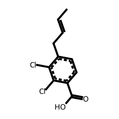 CC=CCc1ccc(C(=O)O)c(Cl)c1Cl